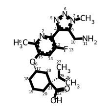 Cc1nc(-c2nnn(C)c2CN)c(F)cc1O[C@H]1CCC[C@@](C(=O)O)(C(C)C)C1